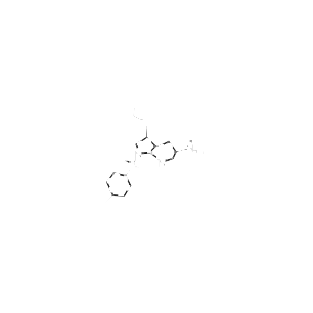 CCOc1cn(S(=O)(=O)c2ccc(C)cc2)c2ncc([N+](=O)[O-])cc12